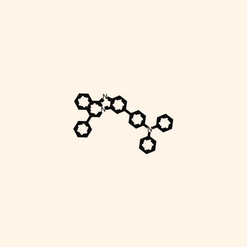 c1ccc(-c2cn3c4cc(-c5ccc(N(c6ccccc6)c6ccccc6)cc5)ccc4nc3c3ccccc23)cc1